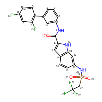 O=C(Nc1cccc(-c2ccc(F)cc2F)c1)c1cc2ccc(NS(=O)(=O)CC(F)(F)F)cc2[nH]1